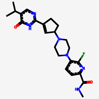 CNC(=O)c1ccc(N2CCN(C3C=C(c4ncc(C(C)C)c(=O)[nH]4)CC3)CC2)c(F)n1